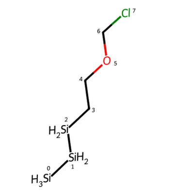 [SiH3][SiH2][SiH2]CCOCCl